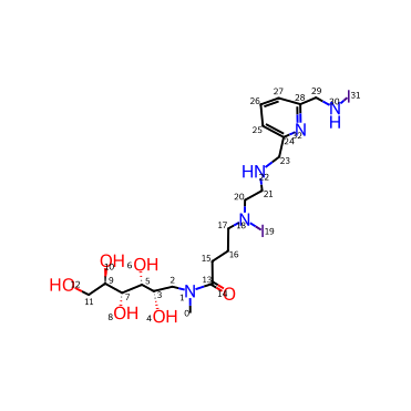 CN(C[C@H](O)[C@@H](O)[C@H](O)[C@H](O)CO)C(=O)CCCN(I)CCNCc1cccc(CNI)n1